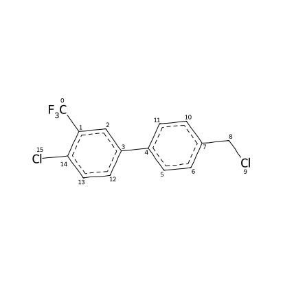 FC(F)(F)c1cc(-c2ccc(CCl)cc2)ccc1Cl